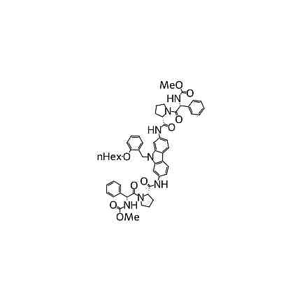 CCCCCCOc1ccccc1Cn1c2cc(NC(=O)[C@@H]3CCCN3C(=O)[C@H](NC(=O)OC)c3ccccc3)ccc2c2ccc(NC(=O)[C@@H]3CCCN3C(=O)[C@H](NC(=O)OC)c3ccccc3)cc21